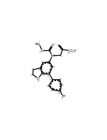 C=C(CN(C(=O)OC(C)(C)C)c1cc2c(c(-c3ccc(C(C)C)cc3)c1)OCC2)C(=O)O